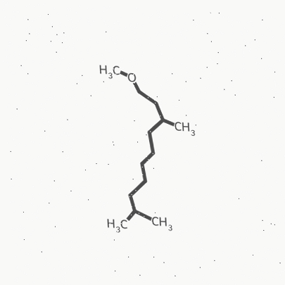 COCCC(C)CCCCCC(C)C